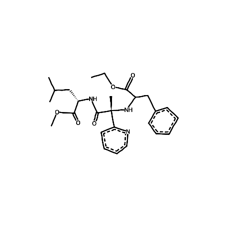 CCOC(=O)C(Cc1ccccc1)N[C@@](C)(C(=O)N[C@@H](CC(C)C)C(=O)OC)c1ccccn1